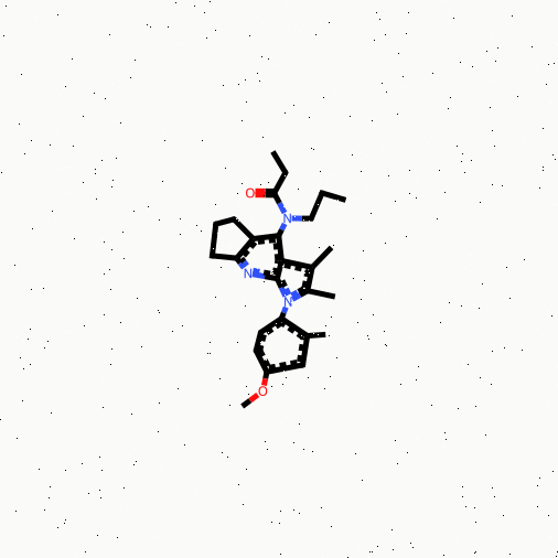 CCCN(C(=O)CC)c1c2c(nc3c1c(C)c(C)n3-c1ccc(OC)cc1C)CCC2